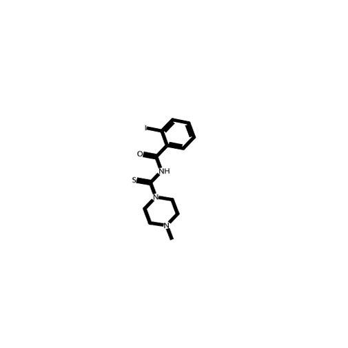 CN1CCN(C(=S)NC(=O)c2ccccc2I)CC1